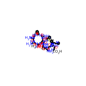 CNC(=O)c1ccccc1Sc1ccc2c(/C=C/c3ccccn3)nn(C(=O)N(CCNC(=O)CC[C@H](N)C(=O)O)CCC(=O)N[C@@H](CCN)C(=O)N[C@H](C(=O)N[C@@H](CCN)C(=O)N[C@H]3CCNC(=O)[C@H]([C@@H](C)O)NC(=O)[C@H](CCN)NC(=O)[C@H](CCN)NC(=O)[C@H](CC(C)C)NC(=O)[C@@H](Cc4ccccc4)NC(=O)[C@H](CCN)NC3=O)[C@@H](C)O)c2c1